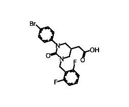 O=C(O)CC1CN(Cc2c(F)cccc2F)C(=O)N(c2ccc(Br)cc2)C1